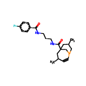 CC1C#CP2CC(C)CC(C(=O)NCCCNC(=O)c3ccc(F)cc3)(C1)C2